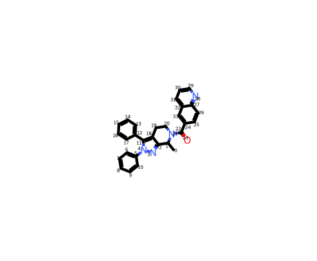 CC1c2nn(-c3ccccc3)c(-c3ccccc3)c2CCN1C(=O)c1ccc2ncccc2c1